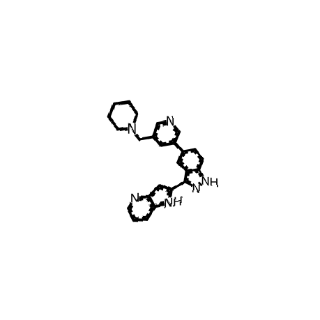 c1cnc2cc(-c3n[nH]c4ccc(-c5cncc(CN6CCCCC6)c5)cc34)[nH]c2c1